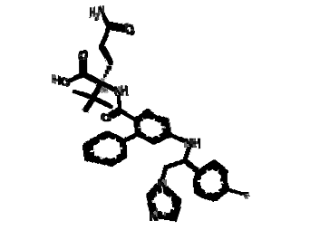 CC(C)(C)[C@](CCC(N)=O)(NC(=O)c1ccc(NC(Cn2ccnc2)c2ccc(F)cc2)cc1-c1ccccc1)C(=O)O